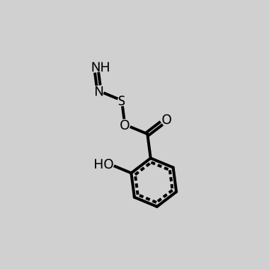 N=NSOC(=O)c1ccccc1O